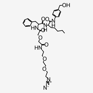 CCCCCC(NC(=O)C(Cc1ccccc1)NC(=O)COCC(=O)NCCOCCOCCN=[N+]=[N-])C(=O)Nc1ccc(CO)cc1